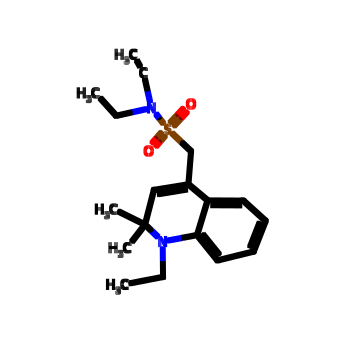 CCN1c2ccccc2C(CS(=O)(=O)N(CC)CC)=CC1(C)C